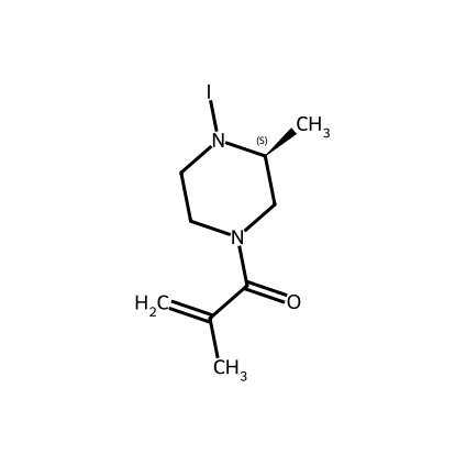 C=C(C)C(=O)N1CCN(I)[C@@H](C)C1